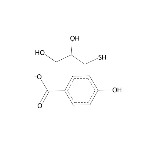 COC(=O)c1ccc(O)cc1.OCC(O)CS